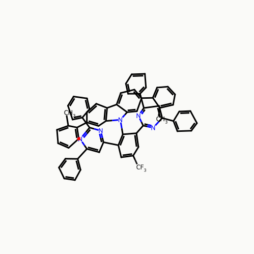 Cc1ccccc1-c1ccc2c3ccc(-c4ccccc4C)cc3n(-c3c(-c4cc(-c5ccccc5)nc(-c5ccccc5)n4)cc(C(F)(F)F)cc3-c3nc(-c4ccccc4)cc(-c4ccccc4)n3)c2c1